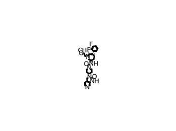 COCCN1C[C@H](NC(=O)N2CCC(N3Cc4ccncc4NC3=O)CC2)CC[C@@H](c2cccc(F)c2F)C1